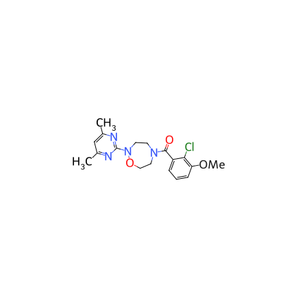 COc1cccc(C(=O)N2CCON(c3nc(C)cc(C)n3)CC2)c1Cl